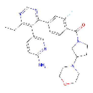 CCc1ncnc(-c2ccc(C(=O)N3CCC(N4CCOCC4)C3)c(F)c2)c1-c1ccc(N)nc1